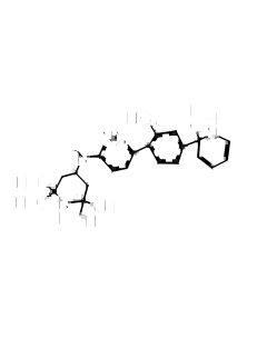 CN(c1ccc(-c2ccc(C3(C)C=CC=CN3)cc2O)nn1)C1CC(C)(C)NC(C)(C)C1